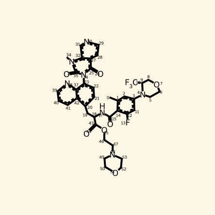 Cc1cc(N2CCOC[C@@H]2C(F)(F)F)cc(F)c1C(=O)NC(Cc1ccc(-n2c(=O)c3ccncc3n(C)c2=O)c2ncccc12)C(=O)OCCN1CCOCC1